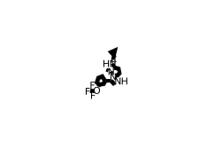 CN1C(NCC2CC2)=CC=C2NC=C(c3cccc(OC(F)(F)F)c3)N21